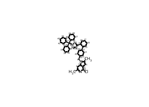 Cc1cc2c(cc(C)n2Cc2ccc(-c3ccccc3-c3nnn(C(c4ccccc4)(c4ccccc4)c4ccccc4)n3)cc2)c(Cl)n1